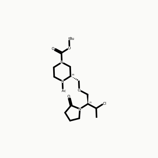 CC(=O)N1CCN(C(=O)OC(C)(C)C)C[C@@H]1COC[C@@H](C(C)Cl)N1CCCC1=O